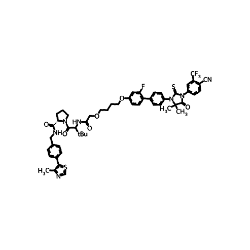 Cc1ncsc1-c1ccc(CNC(=O)[C@@H]2CCCN2C(=O)C(NC(=O)COCCCCOc2ccc(-c3ccc(N4C(=S)N(c5ccc(C#N)c(C(F)(F)F)c5)C(=O)C4(C)C)cc3)c(F)c2)C(C)(C)C)cc1